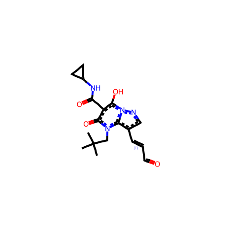 CC(C)(C)Cn1c(=O)c(C(=O)NC2CC2)c(O)n2ncc(/C=C/C=O)c12